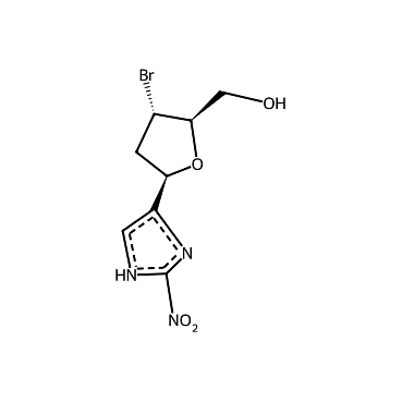 O=[N+]([O-])c1nc([C@H]2C[C@H](Br)[C@@H](CO)O2)c[nH]1